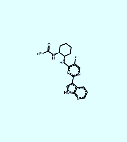 CCCC(=O)N[C@H]1CCCC[C@H]1Nc1nc(-c2c[nH]c3ncccc23)ncc1F